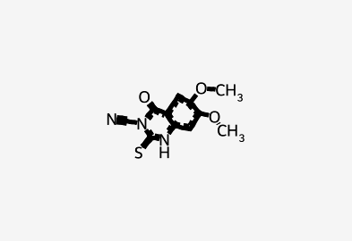 COc1cc2[nH]c(=S)n(C#N)c(=O)c2cc1OC